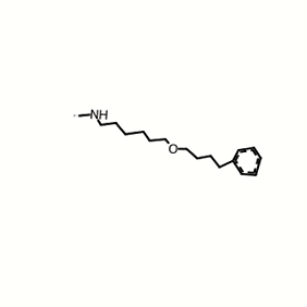 [CH2]NCCCCCCOCCCCc1ccccc1